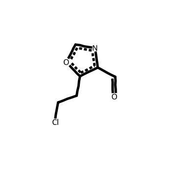 O=Cc1ncoc1CCCl